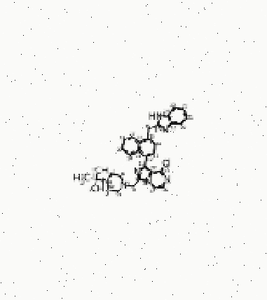 CC(C)(C)N1CCN(Cc2nc(-c3ccc(Cc4nc5ccccc5[nH]4)c4ccccc34)c3c(Cl)nccn23)CC1